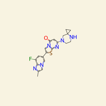 Cc1cn2cc(-c3cn4c(=O)cc(N5CCNC6(CC6)C5)nc4s3)cc(F)c2n1